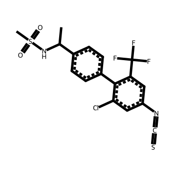 CC(NS(C)(=O)=O)c1ccc(-c2c(Cl)cc(N=C=S)cc2C(F)(F)F)cc1